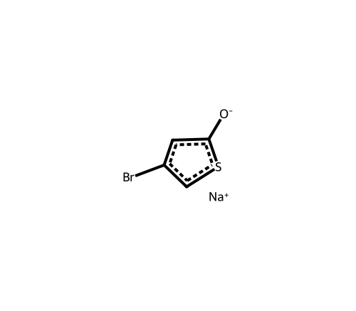 [Na+].[O-]c1cc(Br)cs1